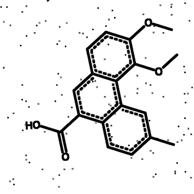 COc1ccc2cc(C(=O)O)c3ccc(C)cc3c2c1OC